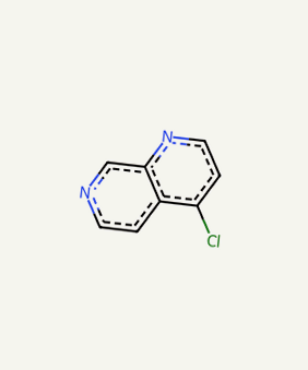 Clc1ccnc2cnccc12